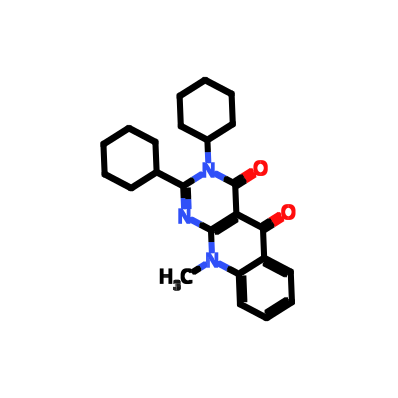 Cn1c2ccccc2c(=O)c2c(=O)n(C3CCCCC3)c(C3CCCCC3)nc21